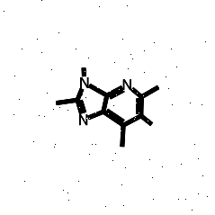 Cc1nc2c(nc(C)n2C)c(C)c1C